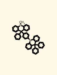 CN1c2ccccc2C(c2ccccc2)(c2ccc(N3c4ccccc4C(c4ccccc4)(c4ccccc4)c4ccccc43)cc2)c2ccccc21